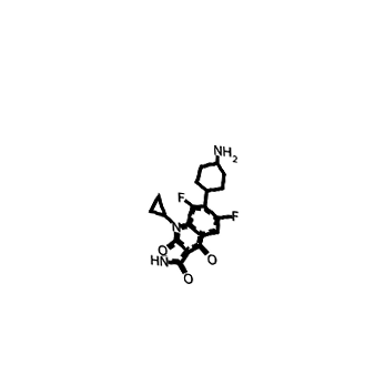 NC1CCC(c2c(F)cc3c(=O)c4c(=O)[nH]oc4n(C4CC4)c3c2F)CC1